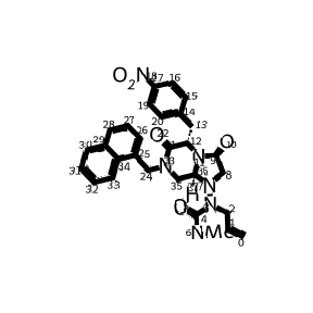 C=CCN(C(=O)NC)N1CC(=O)N2[C@@H](Cc3ccc([N+](=O)[O-])cc3)C(=O)N(Cc3cccc4ccccc34)C[C@@H]21